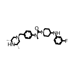 C[C@@H]1CN(Cc2ccc(N(C)C(=O)N3CCC(Nc4cccc(F)c4)CC3)cc2)C[C@H](C)N1